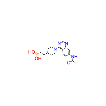 CC(=O)Nc1ccc2c(N3CCC(CCP(O)O)CC3)ncnc2c1